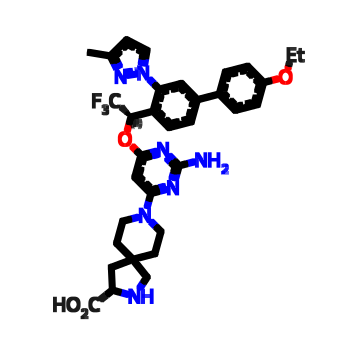 CCOc1ccc(-c2ccc([C@@H](Oc3cc(N4CCC5(CC4)CNC(C(=O)O)C5)nc(N)n3)C(F)(F)F)c(-n3ccc(C)n3)c2)cc1